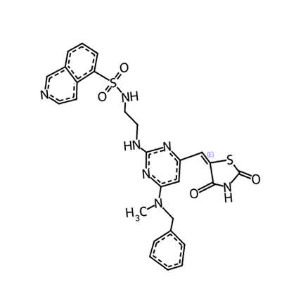 CN(Cc1ccccc1)c1cc(/C=C2/SC(=O)NC2=O)nc(NCCNS(=O)(=O)c2cccc3cnccc23)n1